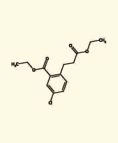 CCOC(=O)CCc1ccc(Cl)cc1C(=O)OCC